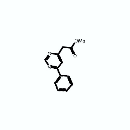 COC(=O)Cc1cc(-c2ccccc2)ncn1